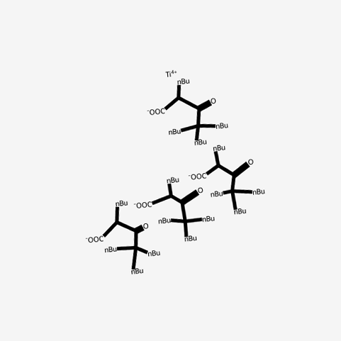 CCCCC(C(=O)[O-])C(=O)C(CCCC)(CCCC)CCCC.CCCCC(C(=O)[O-])C(=O)C(CCCC)(CCCC)CCCC.CCCCC(C(=O)[O-])C(=O)C(CCCC)(CCCC)CCCC.CCCCC(C(=O)[O-])C(=O)C(CCCC)(CCCC)CCCC.[Ti+4]